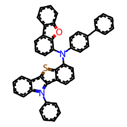 c1ccc(-c2ccc(N(c3cccc4c3oc3ccccc34)c3cccc4c3sc3c5ccccc5n(-c5ccccc5)c43)cc2)cc1